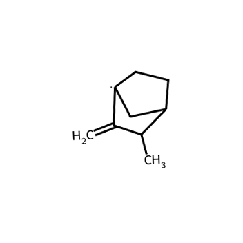 C=C1[C]2CCC(C2)C1C